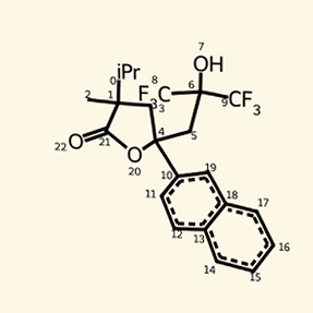 CC(C)C1(C)CC(CC(O)(C(F)(F)F)C(F)(F)F)(c2ccc3ccccc3c2)OC1=O